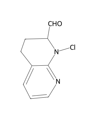 O=CC1CCc2cccnc2N1Cl